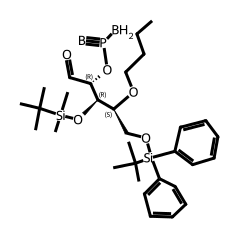 B#P(B)O[C@@H](C=O)[C@H](O[Si](C)(C)C(C)(C)C)[C@H](CO[Si](c1ccccc1)(c1ccccc1)C(C)(C)C)OCCCC